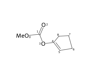 COC(=O)OC1=CCCC1